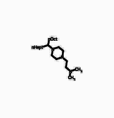 CCCCCCCCC(CCCCCCC)N1CCN(CCN(C)C)CC1